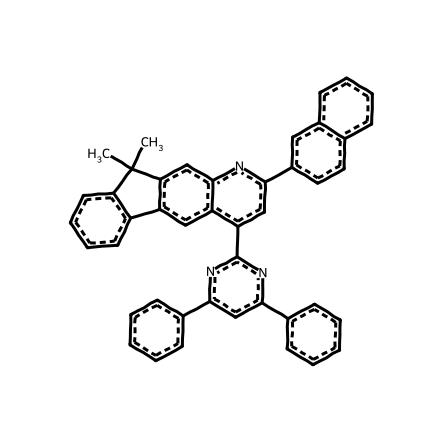 CC1(C)c2ccccc2-c2cc3c(-c4nc(-c5ccccc5)cc(-c5ccccc5)n4)cc(-c4ccc5ccccc5c4)nc3cc21